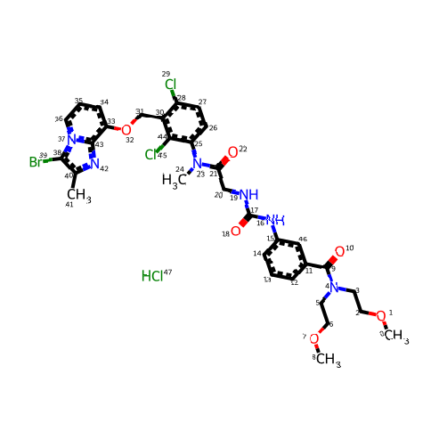 COCCN(CCOC)C(=O)c1cccc(NC(=O)NCC(=O)N(C)c2ccc(Cl)c(COc3cccn4c(Br)c(C)nc34)c2Cl)c1.Cl